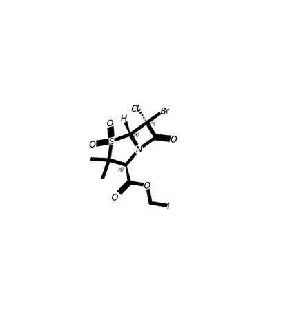 CC1(C)[C@H](C(=O)OCI)N2C(=O)[C@](Cl)(Br)[C@H]2S1(=O)=O